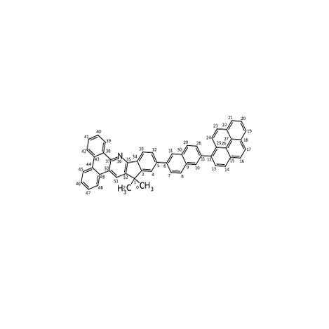 CC1(C)c2cc(-c3ccc4cc(-c5ccc6ccc7cccc8ccc5c6c78)ccc4c3)ccc2-c2nc3c4ccccc4c4ccccc4c3cc21